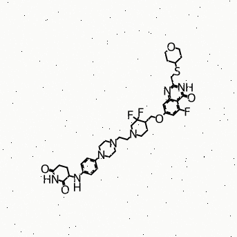 O=C1CCC(Nc2ccc(N3CCN(CCN4CCC(COc5cc(F)c6c(=O)[nH]c(CSC7CCOCC7)nc6c5)C(F)(F)C4)CC3)cc2)C(=O)N1